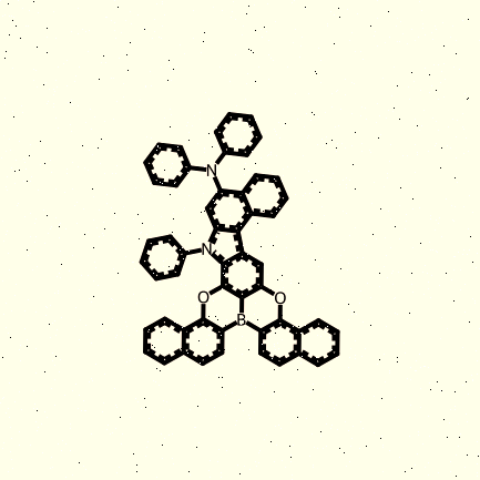 c1ccc(N(c2ccccc2)c2cc3c(c4ccccc24)c2cc4c5c(c2n3-c2ccccc2)Oc2c(ccc3ccccc23)B5c2ccc3ccccc3c2O4)cc1